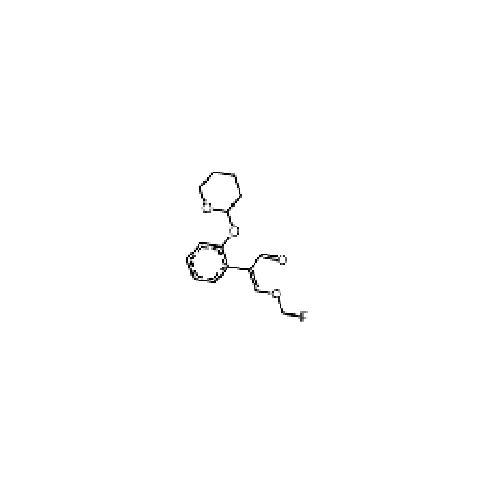 O=[C]C(=COCF)c1ccccc1OC1CCCCO1